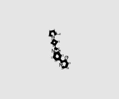 C[C@H]1CCCN1[C@H]1C[C@H](c2nc3ccc(C4N=CC=CC4=O)cc3s2)C1